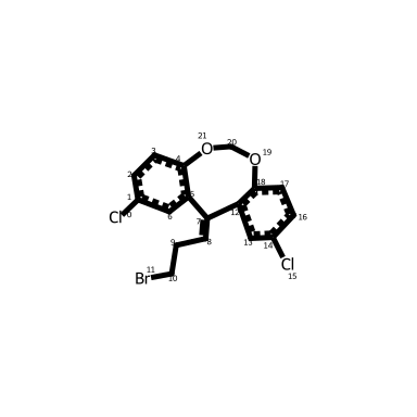 Clc1ccc2c(c1)C(=CCCBr)c1cc(Cl)ccc1OCO2